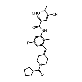 Cc1c(C=C2CCN(C(=O)C3CCCC3)CC2)cc(F)cc1NC(=O)C(/C=C(/C#N)N(C)C)=C/C=O